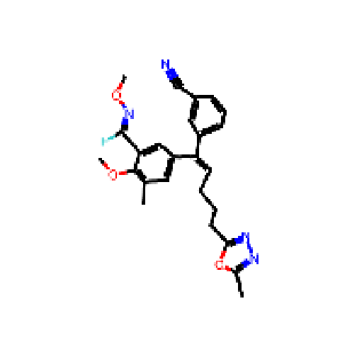 CON=C(F)c1cc(/C(=C\CCCc2nnc(C)o2)c2cccc(C#N)c2)cc(C)c1OC